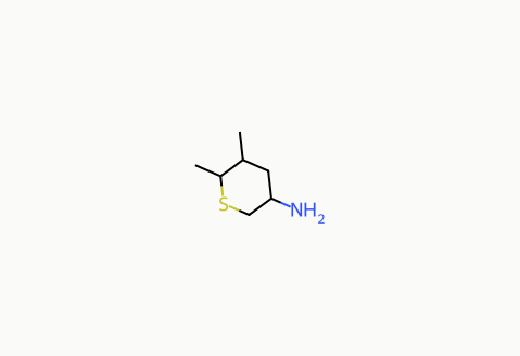 CC1CC(N)CSC1C